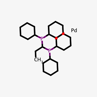 CCC(P(C1CCCCC1)C1CCCCC1)P(C1CCCCC1)C1CCCCC1.[Pd]